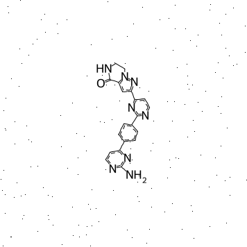 Nc1nccc(-c2ccc(-c3nccc(-c4cc5n(n4)CCNC5=O)n3)cc2)n1